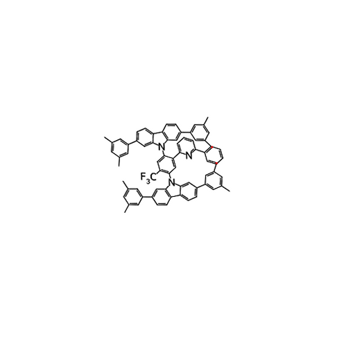 Cc1cc(C)cc(-c2ccc3c4ccc(-c5cc(C)cc(C)c5)cc4n(-c4cc(C(F)(F)F)c(-n5c6cc(-c7cc(C)cc(C)c7)ccc6c6ccc(-c7cc(C)cc(C)c7)cc65)cc4-c4cccc(-c5ccccc5)n4)c3c2)c1